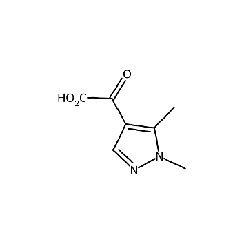 Cc1c(C(=O)C(=O)O)cnn1C